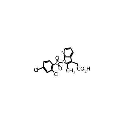 Cc1c(CC(=O)O)c2cccnc2n1S(=O)(=O)c1ccc(Cl)cc1Cl